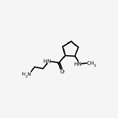 CNC1CCCC1C(=O)NCCN